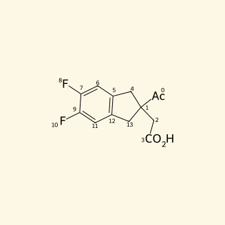 CC(=O)C1(CC(=O)O)Cc2cc(F)c(F)cc2C1